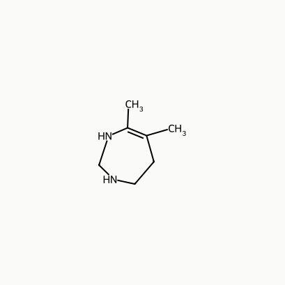 CC1=C(C)NCNCC1